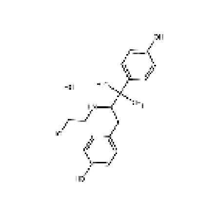 CC(C)(c1ccc(O)cc1)C(Cc1ccc(O)cc1)NCCO.Cl